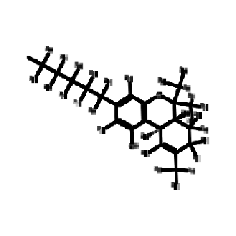 [2H]C1=C(C([2H])([2H])[2H])C([2H])([2H])C([2H])([2H])[C@@]2([2H])C(C([2H])([2H])[2H])(C([2H])([2H])[2H])Oc3c([2H])c(C([2H])([2H])C([2H])([2H])C([2H])([2H])C([2H])([2H])C([2H])([2H])C)c([2H])c(O)c3[C@]12[2H]